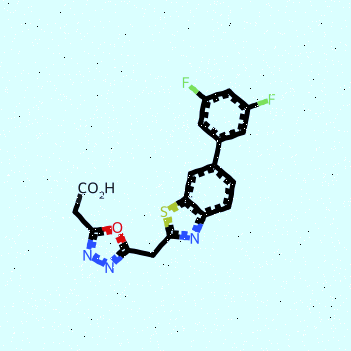 O=C(O)Cc1nnc(Cc2nc3ccc(-c4cc(F)cc(F)c4)cc3s2)o1